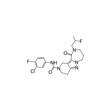 CC(F)CN1CCCn2nc3c(c2C1=O)CN(C(=O)Nc1ccc(F)c(Cl)c1)CC3